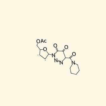 CC(=O)OCC1[CH][CH]C(N2N=NC(C(=O)N3CCCCC3)C(=O)C2=O)O1